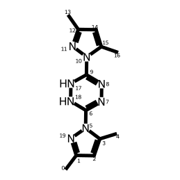 Cc1cc(C)n(C2=NN=C(n3nc(C)cc3C)NN2)n1